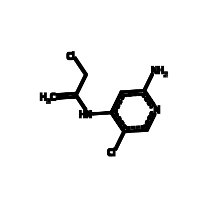 C=C(CCl)Nc1cc(N)ncc1Cl